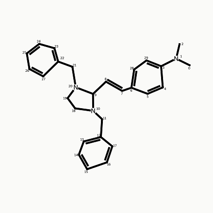 CN(C)c1ccc(/C=C/C2N(Cc3ccccc3)CCN2Cc2ccccc2)cc1